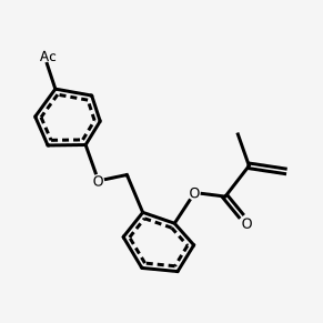 C=C(C)C(=O)Oc1ccccc1COc1ccc(C(C)=O)cc1